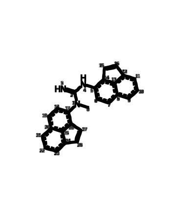 CN(C(=N)Nc1ccc2cccc3c2c1C=C3)c1ccc2cccc3c2c1C=C3